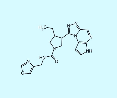 CCC1CN(C(=O)NCc2cocn2)CC1c1nnc2cnc3[nH]ccc3n12